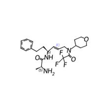 C[C@H](N)C(=O)N[C@H](/C=C/CN(C(=O)C(F)(F)F)C1CCOCC1)CCc1ccccc1